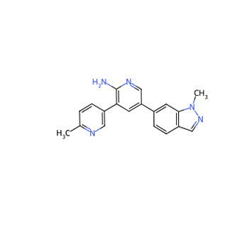 Cc1ccc(-c2cc(-c3ccc4cnn(C)c4c3)cnc2N)cn1